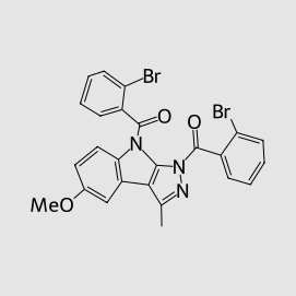 COc1ccc2c(c1)c1c(C)nn(C(=O)c3ccccc3Br)c1n2C(=O)c1ccccc1Br